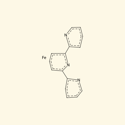 [Fe].c1ccc(-c2cccc(-c3ccccn3)n2)nc1